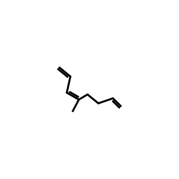 C=CC=C(C)CCC=C